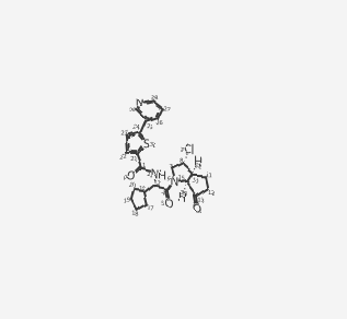 O=C(N[C@H](C(=O)N1C[C@H](Cl)[C@H]2CCC(=O)[C@H]21)C1CCCC1)c1ccc(-c2cccnc2)s1